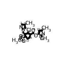 Cc1cnn(Cc2c(S(C)(=O)=O)ccc(C(=O)Oc3cc(C)nn3C)c2Cl)c1